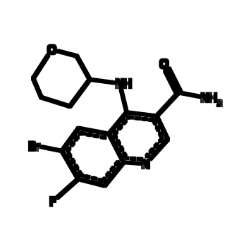 NC(=O)c1cnc2cc(F)c(Br)cc2c1NC1CCCOC1